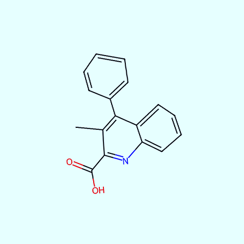 Cc1c(C(=O)O)nc2ccccc2c1-c1ccccc1